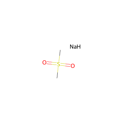 CS(C)(=O)=O.[NaH]